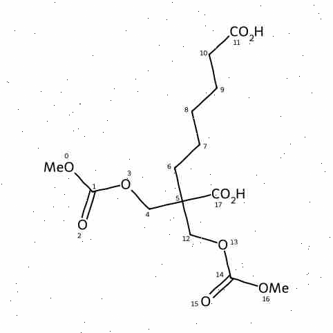 COC(=O)OCC(CCCCCC(=O)O)(COC(=O)OC)C(=O)O